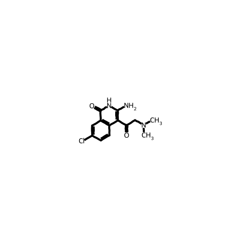 CN(C)CC(=O)c1c(N)[nH]c(=O)c2cc(Cl)ccc12